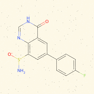 N[S+]([O-])c1cc(-c2ccc(F)cc2)cc2c(=O)[nH]cnc12